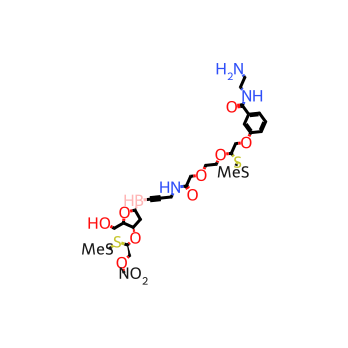 CSSC(COc1cccc(C(=O)NCCN)c1)OCCOCC(=O)NCC#CB[C@H]1C[C@@H](O[C@@H](CO[N+](=O)[O-])SSC)C(CO)O1